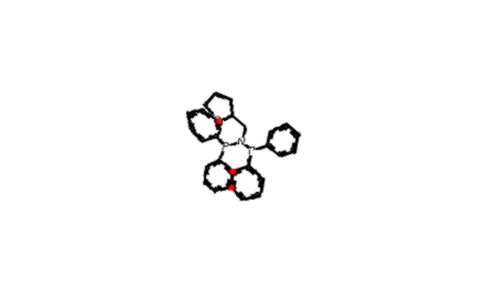 c1ccc(P(c2ccccc2)N(CC2CCCO2)P(c2ccccc2)c2ccccc2)cc1